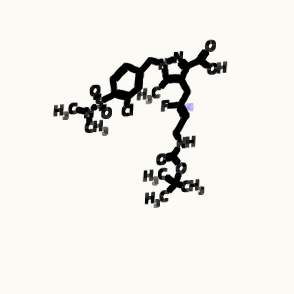 Cc1c(C/C(F)=C/CNC(=O)OC(C)(C)C)c(C(=O)O)nn1Cc1ccc(S(=O)(=O)N(C)C)c(Cl)c1